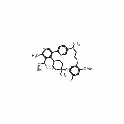 COc1cc(Cl)ccc1OCCN(C)c1ccc(-c2cnc(C)c([C@H](OC(C)(C)C)C(=O)O)c2N2CCC(C)(C)CC2)nc1